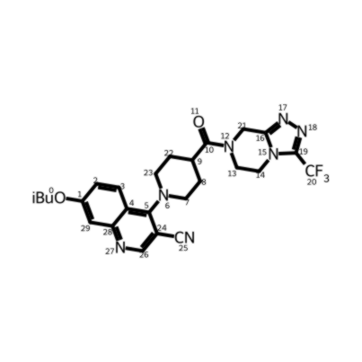 CC(C)COc1ccc2c(N3CCC(C(=O)N4CCn5c(nnc5C(F)(F)F)C4)CC3)c(C#N)cnc2c1